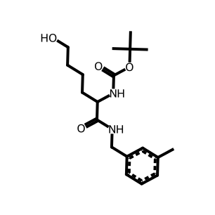 Cc1cccc(CNC(=O)C(CCCCO)NC(=O)OC(C)(C)C)c1